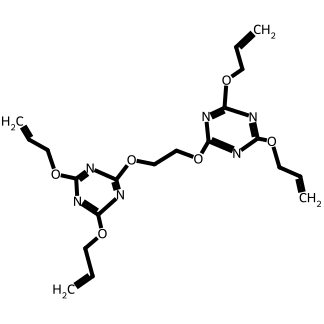 C=CCOc1nc(OCC=C)nc(OCCOc2nc(OCC=C)nc(OCC=C)n2)n1